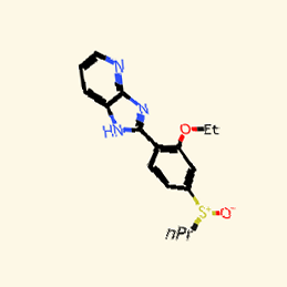 CCC[S+]([O-])c1ccc(-c2nc3ncccc3[nH]2)c(OCC)c1